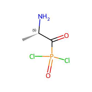 C[C@H](N)C(=O)P(=O)(Cl)Cl